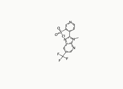 Cn1c(-c2ccncc2S(=O)(=O)Cl)nc2cc(C(F)(F)F)cnc21